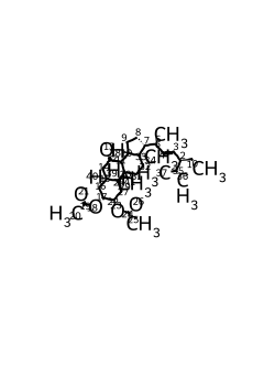 CC[C@H](/C=C/[C@@H](C)[C@H]1CC[C@H]2[C@@H]3C(=O)C[C@H]4C[C@H](OC(C)=O)[C@H](OC(C)=O)C[C@]4(C)[C@H]3CC[C@]12C)C(C)C